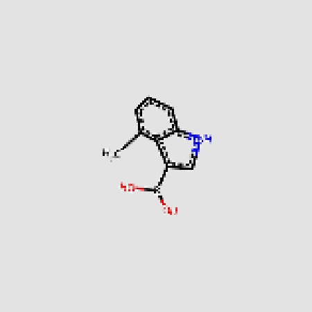 Cc1cccc2[nH]cc(B(O)O)c12